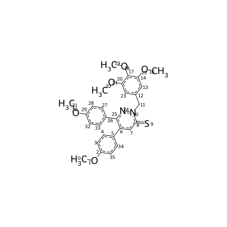 COc1ccc(-c2cc(=S)n(Cc3cc(OC)c(OC)c(OC)c3)nc2-c2ccc(OC)cc2)cc1